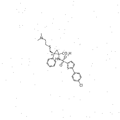 CN(C)CCSC[C@@]1(c2ccccc2)CC1(NS(=O)(=O)c1ccc(-c2ccc(Cl)cc2)s1)C(=O)O